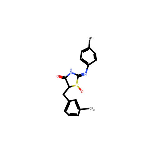 CC(C)c1ccc(/N=C2\NC(=O)C(Cc3cccc(C(F)(F)F)c3)[S+]2[O-])cc1